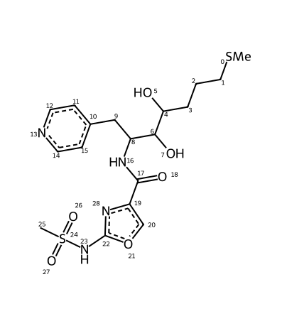 CSCCCC(O)C(O)C(Cc1ccncc1)NC(=O)c1coc(NS(C)(=O)=O)n1